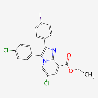 CCOC(=O)c1cc(Cl)cn2c(-c3ccc(Cl)cc3)c(-c3ccc(I)cc3)nc12